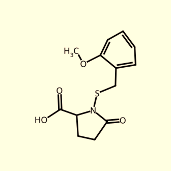 COc1ccccc1CSN1C(=O)CCC1C(=O)O